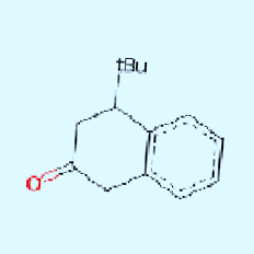 CC(C)(C)C1CC(=O)Cc2ccccc21